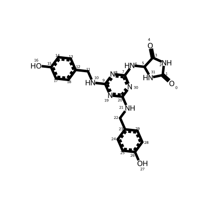 O=C1NC(=O)C(Nc2nc(NCc3ccc(O)cc3)nc(NCc3ccc(O)cc3)n2)N1